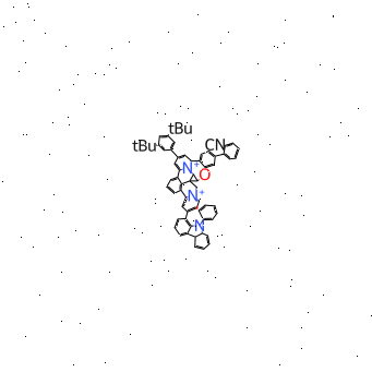 CC(C)(C)c1cc(-c2cc3[n+]4c(c2)-c2cccc5c2C2(C[n+]6ccc(-c7cccc8c7N(c7ccccc7)C7C=CC=CC87)cc6-5)C(Oc5cc(-c6ccccc6)c(C#N)cc5-3)C42)cc(C(C)(C)C)c1